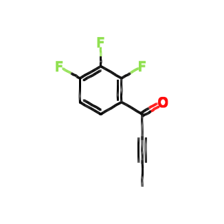 CC#CC(=O)c1ccc(F)c(F)c1F